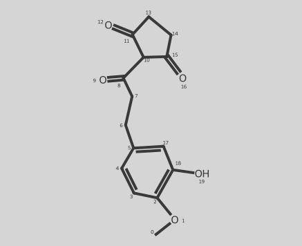 COc1ccc(CCC(=O)C2C(=O)CCC2=O)cc1O